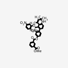 COC(=O)c1cccc(C(=O)Oc2ccc(-c3ccc4c(c3COc3cc([N+](=O)[O-])ccc3OC)C(C)=CC(C)(C)N4)c(C)c2)c1